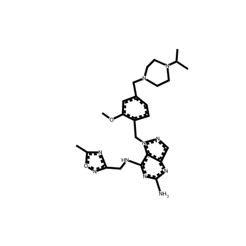 COc1cc(CN2CCN(C(C)C)CC2)ccc1Cn1ncc2nc(N)nc(NCc3noc(C)n3)c21